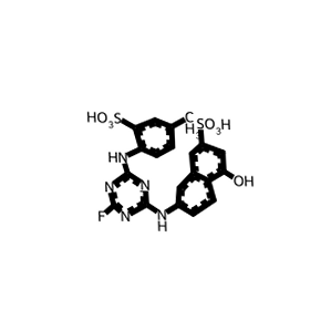 Cc1ccc(Nc2nc(F)nc(Nc3ccc4c(O)cc(S(=O)(=O)O)cc4c3)n2)c(S(=O)(=O)O)c1